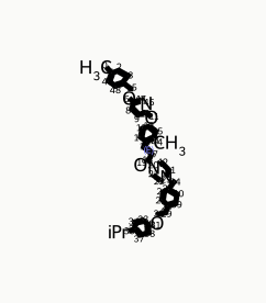 Cc1ccc(COc2ccc(Oc3ccc(/C=C/C(=O)N4CCN(Cc5ccc(CCOc6ccc(C(C)C)cc6)cc5)CC4)c(C)c3)nc2)cc1